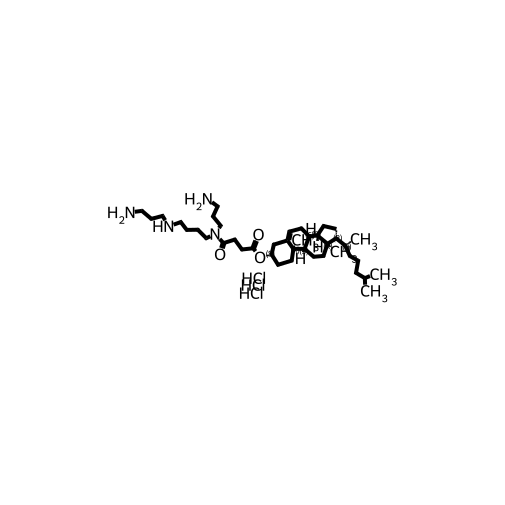 CC(C)CCC[C@@H](C)[C@H]1CC[C@H]2[C@@H]3CC=C4C[C@@H](OC(=O)CCC(=O)N(CCCN)CCCCNCCCN)CC[C@]4(C)[C@H]3CC[C@]12C.Cl.Cl.Cl